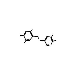 CCOC(=O)c1cc(F)c(COc2cnc(OC)c(Cl)c2)cc1F